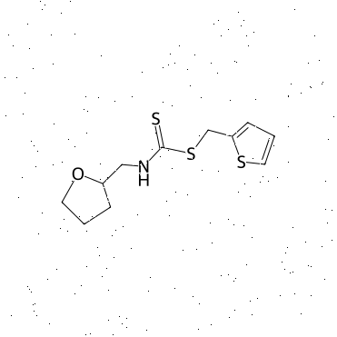 S=C(NCC1CCCO1)SCc1cccs1